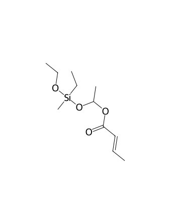 CC=CC(=O)OC(C)O[Si](C)(CC)OCC